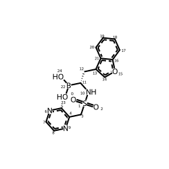 O=S(=O)(Cc1cnccn1)N[C@@H](Cc1coc2ccccc12)B(O)O